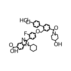 Cl.O=C(O)c1ccc2c(c1)nc(-c1ccc(OCc3cc(C(=O)N4CCC(O)CC4)ccc3-c3ccc(Cl)cc3)cc1F)n2C1CCCCC1